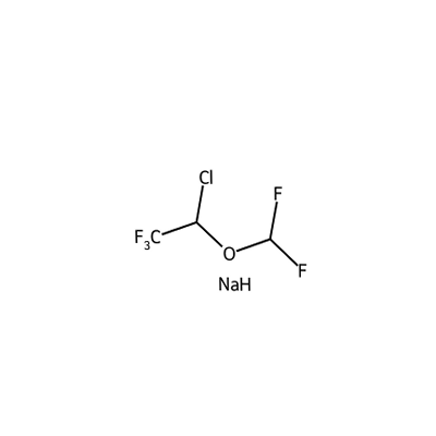 FC(F)OC(Cl)C(F)(F)F.[NaH]